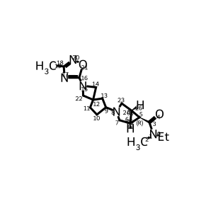 CCN(C)C(=O)[C@H]1[C@@H]2CN(C3CCC4(C3)CN(c3nc(C)no3)C4)C[C@@H]21